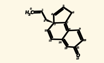 C=CC[C@]12C=CCC1=C1C=CC(=O)C=C1C=C2